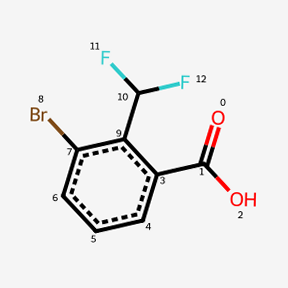 O=C(O)c1cccc(Br)c1C(F)F